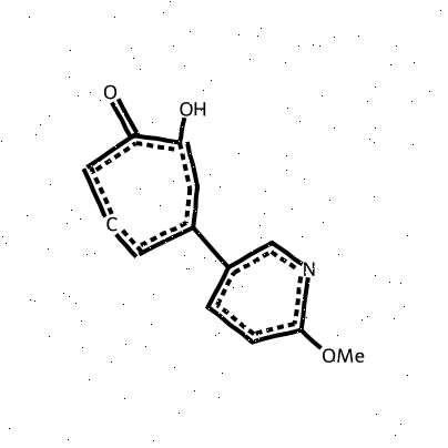 COc1ccc(-c2cccc(=O)c(O)c2)cn1